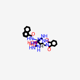 N=C1N[C@H]2[C@H](CN3C(=O)C4CCCCC4C3=O)NC(=N)N3C[C@H](NC(=O)c4cccc5c4CCCC5)C(O)(O)[C@]23N1